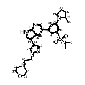 CNS(=O)(=O)c1cc(-c2cnc3[nH]cc(-c4cnn(CCN5CCOCC5)c4)c3n2)cc(N2CCCC2C)c1